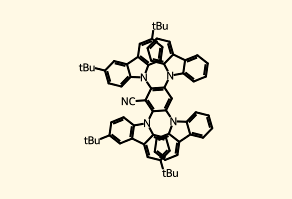 CC(C)(C)c1ccc2c(c1)c1cc(C(C)(C)C)ccc1n2-c1c(-n2c3ccccc3c3ccccc32)cc(-n2c3ccccc3c3ccccc32)c(-n2c3ccc(C(C)(C)C)cc3c3cc(C(C)(C)C)ccc32)c1C#N